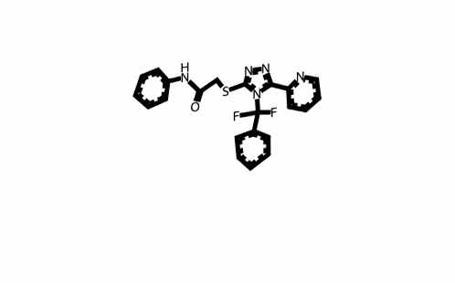 O=C(CSc1nnc(-c2ccccn2)n1C(F)(F)c1ccccc1)Nc1ccccc1